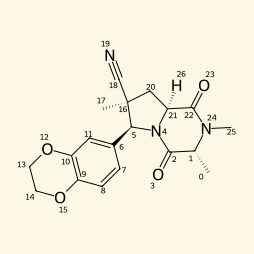 C[C@@H]1C(=O)N2[C@@H](c3ccc4c(c3)OCCO4)[C@@](C)(C#N)C[C@H]2C(=O)N1C